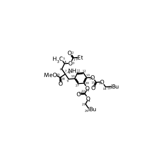 CCC(=O)OC(C)C[C@@](N)(Cc1ccc(OC(=O)OCC(C)CC)c(OC(=O)OCC(C)CC)c1)C(=O)OC